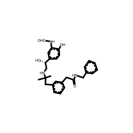 CC(C)(Cc1cccc(CC(=O)NCc2ccccc2)c1)NC[C@H](O)c1ccc(O)c(NC=O)c1